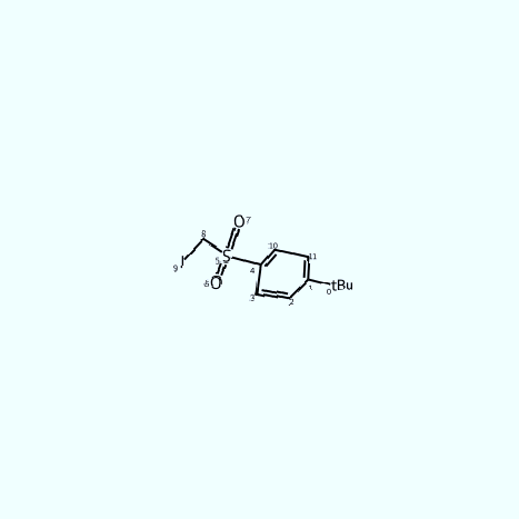 CC(C)(C)c1ccc(S(=O)(=O)CI)cc1